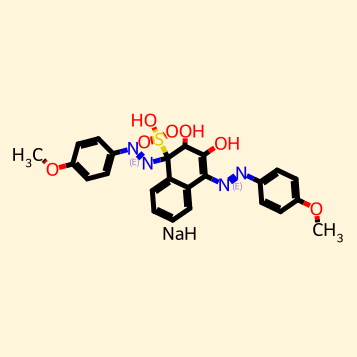 COc1ccc(/N=N/C2=C(O)C(O)C(/N=N/c3ccc(OC)cc3)(S(=O)(=O)O)c3ccccc32)cc1.[NaH]